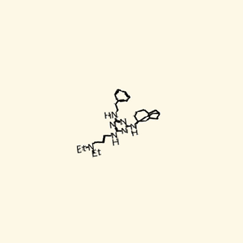 CCN(CC)CCCNc1nc(NCCc2ccccc2)nc(NC23CCCC4CC(CC4C2)C3)n1